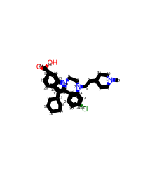 CN1CCC(CCN2CCn3c(c(C4CCCCC4)c4ccc(C(=O)O)cc43)-c3ccc(Cl)cc32)CC1